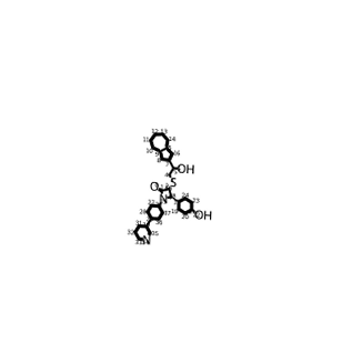 O=C1[C@H](SCC(O)c2cc3cccccc-3c2)[C@@H](c2ccc(O)cc2)N1c1ccc(-c2cccnc2)cc1